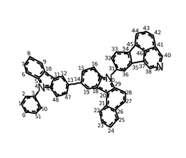 c1ccc(-n2c3ccccc3c3cc(-c4ccc5c(c4)c4c6ccccc6ccc4n5-c4ccc5c(c4)-c4cncc6cccc-5c46)ccc32)cc1